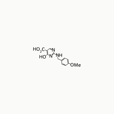 COc1ccc(CNc2ncc(C(=O)O)c(O)n2)cc1